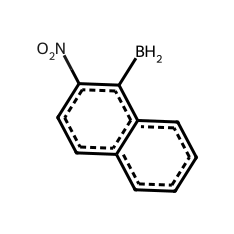 Bc1c([N+](=O)[O-])ccc2ccccc12